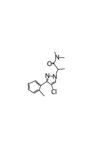 Cc1ccccc1-c1nn(C(C)C(=O)N(C)C)cc1Cl